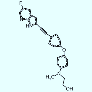 CN(CCO)c1ccc(Oc2ccc(C#Cc3cc4cc(F)cnc4[nH]3)cc2)cc1